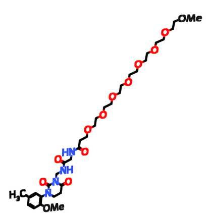 COCCOCCOCCOCCOCCOCCOCCOCCC(=O)NCC(=O)NCN1C(=O)CCN(c2cc(C)ccc2OC)C1=O